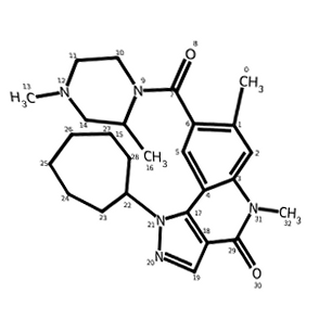 Cc1cc2c(cc1C(=O)N1CCN(C)CC1C)c1c(cnn1C1CCCCCC1)c(=O)n2C